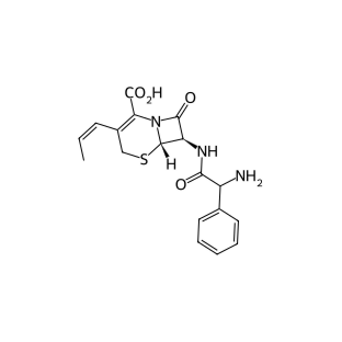 C/C=C\C1=C(C(=O)O)N2C(=O)[C@@H](NC(=O)C(N)c3ccccc3)[C@@H]2SC1